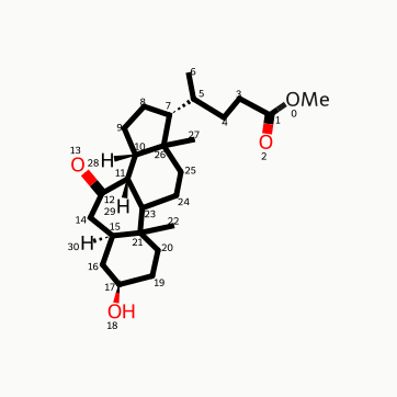 COC(=O)CCC(C)[C@H]1CC[C@H]2[C@H]3C(=O)C[C@@H]4C[C@H](O)CCC4(C)C3CCC12C